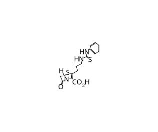 O=C(O)C1=C(CCCNC(=S)Nc2ccccc2)S[C@H]2CC(=O)N12